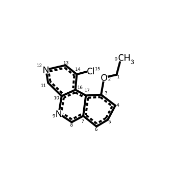 CCOc1cccc2cnc3cncc(Cl)c3c12